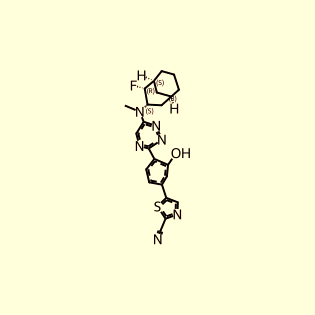 CN(c1cnc(-c2ccc(-c3cnc(C#N)s3)cc2O)nn1)[C@H]1C[C@@H]2CCC[C@@H](C2)[C@H]1F